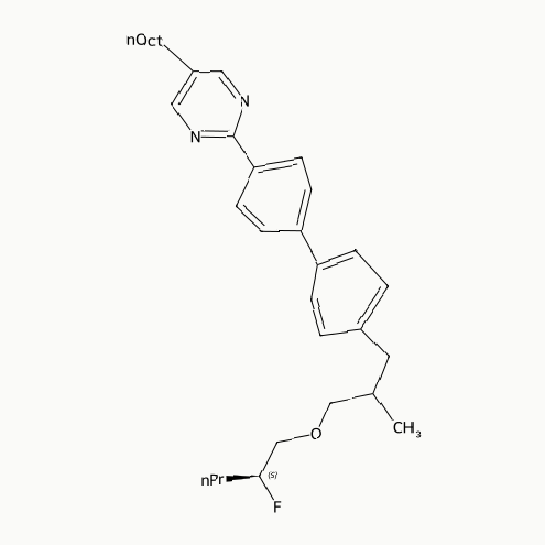 CCCCCCCCc1cnc(-c2ccc(-c3ccc(CC(C)COC[C@@H](F)CCC)cc3)cc2)nc1